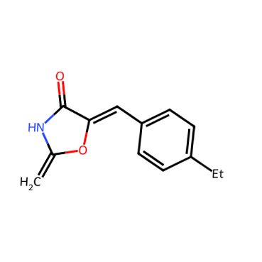 C=c1[nH]c(=O)/c(=C/c2ccc(CC)cc2)o1